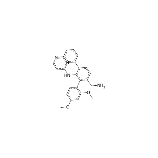 COc1ccc(-c2c(CN)ccc(-c3ccccc3)c2Nc2ccncn2)c(OC)c1